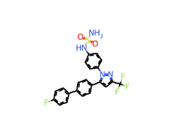 NS(=O)(=O)Nc1ccc(-n2nc(C(F)(F)F)cc2-c2ccc(-c3ccc(F)cc3)cc2)cc1